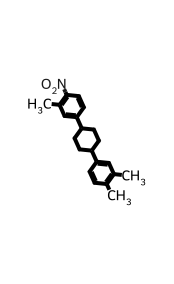 Cc1ccc(C2CCC(c3ccc([N+](=O)[O-])c(C)c3)CC2)cc1C